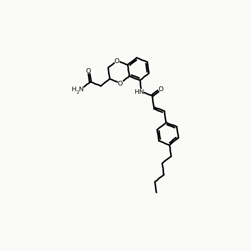 CCCCCc1ccc(/C=C/C(=O)Nc2cccc3c2OC(CC(N)=O)CO3)cc1